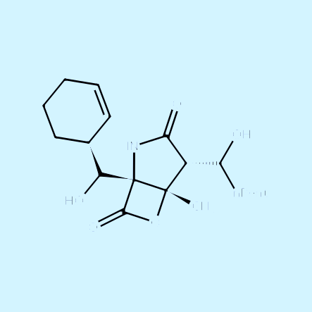 CCCCCC(O)[C@H]1C(=O)N[C@@]2(C(O)[C@@H]3C=CCCC3)C(=O)O[C@@]12C